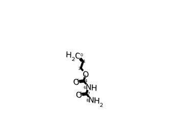 C=CCOC(=O)NC(N)=O